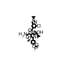 CCOc1c(CC(N)=O)cc([C@@](O)(CNC(=O)c2cc(Cl)c3nn(C4CC4)cc3c2)C2CC2)nc1-c1ccc2c(c1)OC(F)(F)O2